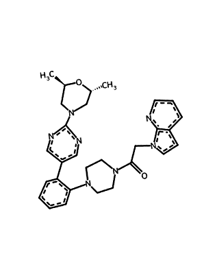 C[C@@H]1CN(c2ncc(-c3ccccc3N3CCN(C(=O)Cn4ccc5cccnc54)CC3)cn2)C[C@@H](C)O1